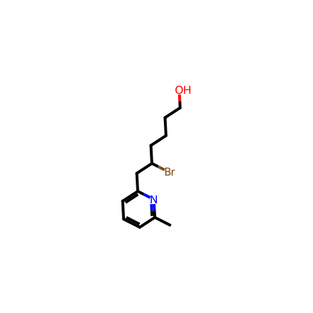 Cc1cccc(CC(Br)CCCCO)n1